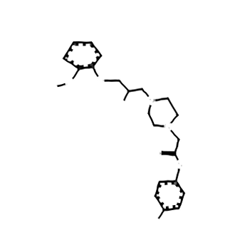 COc1ccccc1OCC(O)CN1CCN(CC(=O)Nc2ccc(C)cc2)CC1